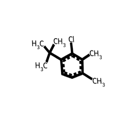 Cc1ccc(C(C)(C)C)c(Cl)c1C